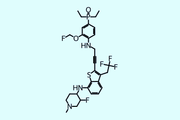 CCP(=O)(CC)c1ccc(NCC#Cc2sc3c(NC4CCN(C)CC4F)cccc3c2CC(F)(F)F)c(OCF)c1